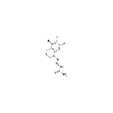 NC(=S)NN=CN1CCCc2c1cc(F)c(F)c2F